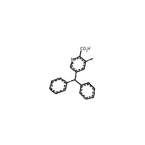 Cc1cc(C(c2ccccc2)c2ccccc2)cnc1C(=O)O